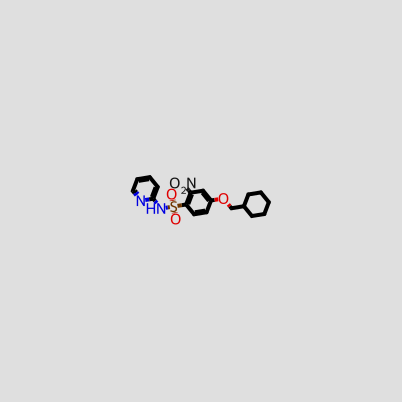 O=[N+]([O-])c1cc(OCC2CCCCC2)ccc1S(=O)(=O)Nc1ccccn1